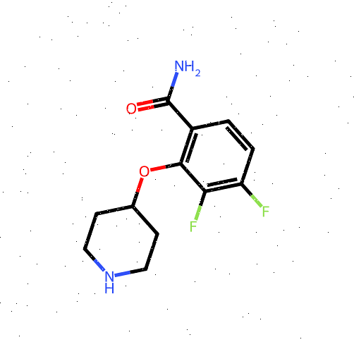 NC(=O)c1ccc(F)c(F)c1OC1CCNCC1